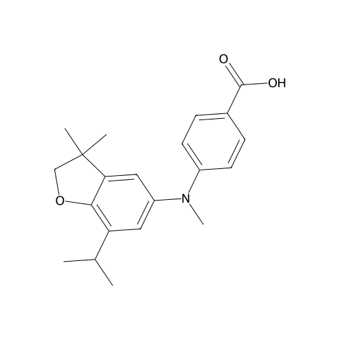 CC(C)c1cc(N(C)c2ccc(C(=O)O)cc2)cc2c1OCC2(C)C